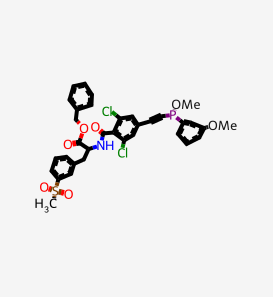 COc1cccc(P(C#Cc2cc(Cl)c(C(=O)NC(Cc3cccc(S(C)(=O)=O)c3)C(=O)OCc3ccccc3)c(Cl)c2)OC)c1